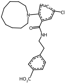 O=C(O)c1ccc(CCNC(=O)c2cc(Cl)ccc2N2CCCCCCCCC2)cc1